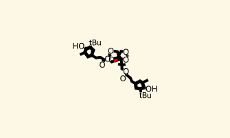 Cc1cc(CCC(=O)OCC(C)(C)C2(C(C)(C)COC(=O)CCc3cc(C)c(O)c(C(C)(C)C)c3)OCOCC23COCOC3)cc(C(C)(C)C)c1O